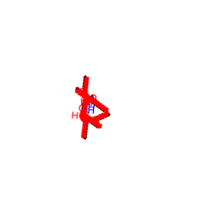 CCCCCCCCCCCCCCN(C(C)=O)[C@H](COCC[C@@H](CCCCCCC)OC(=O)CCCCCCCCCCC)COP(=O)(O)OCCNC(=O)NCCOP(=O)(O)OC[C@@H](COCC[C@@H](CCCCCCC)OC(=O)CCCCCCCCCCC)N(CCCCCCCCCCCCCC)C(C)=O